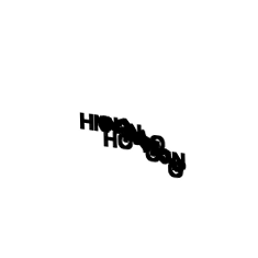 O=S(=O)(c1ccc(-c2ncco2)cc1)N1Cc2cnc(C(O)c3cccc(N4CCNCC4)c3)cc2C1